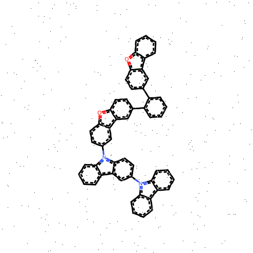 c1ccc(-c2ccc3oc4ccc(-n5c6ccccc6c6cc(-n7c8ccccc8c8ccccc87)ccc65)cc4c3c2)c(-c2ccc3oc4ccccc4c3c2)c1